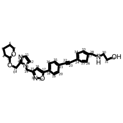 C[C@H](OC1CCCCO1)c1nccn1Cc1cc(-c2ccc(C#Cc3ccc(CNCCO)cc3)cc2)on1